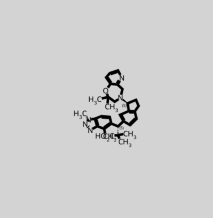 Cc1c([C@H](c2ccc3c(c2)[C@@H](N2Cc4ncccc4OC(C)(C)C2)CC3)C(C)(C)C(=O)O)ccc2c1nnn2C